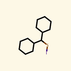 ISC(C1CCCCC1)C1CCCCC1